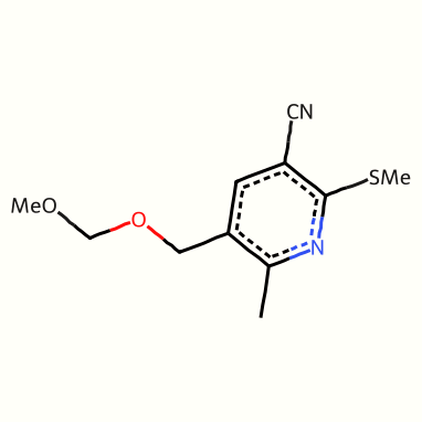 COCOCc1cc(C#N)c(SC)nc1C